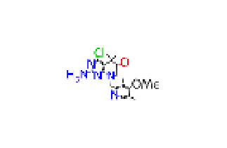 COc1c(C)cnc(CN2CC(=O)C(C)(C)c3c(Cl)nc(N)nc32)c1C